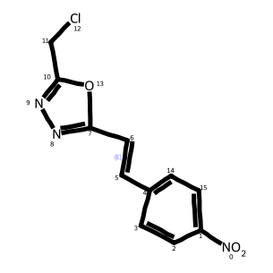 O=[N+]([O-])c1ccc(/C=C/c2nnc(CCl)o2)cc1